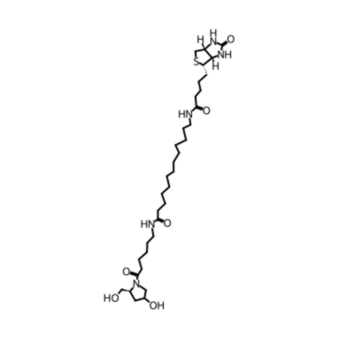 O=C(CCCCCCCCCCCCNC(=O)CCCC[C@@H]1SC[C@@H]2NC(=O)N[C@@H]21)NCCCCCC(=O)N1CC(O)C[C@H]1CO